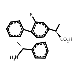 C[C@@H](C(=O)O)c1ccc(-c2ccccc2)c(F)c1.C[C@@H](N)c1ccccc1